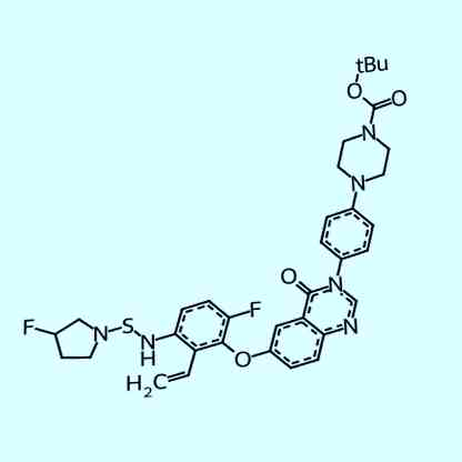 C=Cc1c(NSN2CCC(F)C2)ccc(F)c1Oc1ccc2ncn(-c3ccc(N4CCN(C(=O)OC(C)(C)C)CC4)cc3)c(=O)c2c1